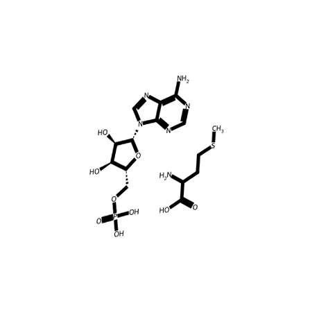 CSCCC(N)C(=O)O.Nc1ncnc2c1ncn2[C@@H]1O[C@H](COP(=O)(O)O)[C@@H](O)[C@H]1O